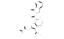 CC(C)(C)OC(=O)C(=O)Nc1sc2c(c1C(=O)OC(C)(C)C)CCN(C(=O)O)C2C(=O)N1Cc2cccc(O)c2C1=O